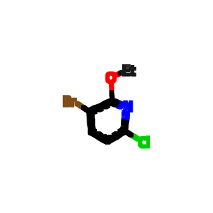 CCOc1nc(Cl)ccc1Br